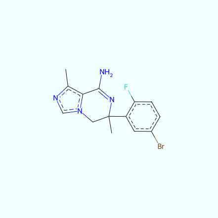 Cc1ncn2c1C(N)=NC(C)(c1cc(Br)ccc1F)C2